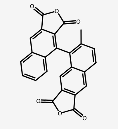 Cc1ccc2cc3c(cc2c1-c1c2c(cc4ccccc14)C(=O)OC2=O)C(=O)OC3=O